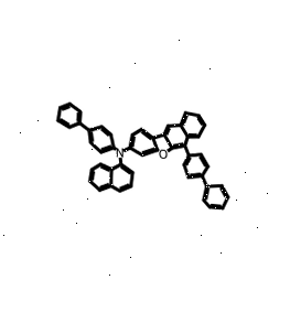 c1ccc(-c2ccc(-c3c4ccccc4cc4c3oc3cc(N(c5ccc(-c6ccccc6)cc5)c5cccc6ccccc56)ccc34)cc2)cc1